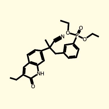 CCOP(=O)(OCC)c1cccc(CC(C)(C#N)c2ccc3cc(CC)c(=O)[nH]c3c2)c1